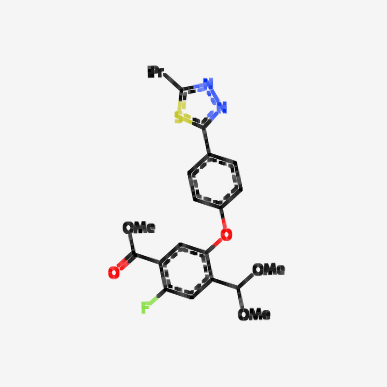 COC(=O)c1cc(Oc2ccc(-c3nnc(C(C)C)s3)cc2)c(C(OC)OC)cc1F